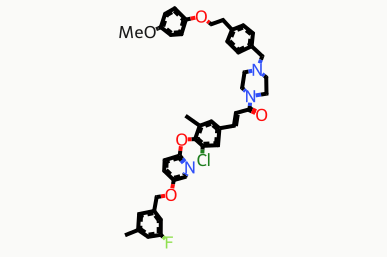 COc1ccc(OCCc2ccc(CN3CCN(C(=O)C=Cc4cc(C)c(Oc5ccc(OCc6cc(C)cc(F)c6)cn5)c(Cl)c4)CC3)cc2)cc1